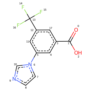 O=C(O)c1cc(-n2ccnc2)cc(C(F)(F)F)c1